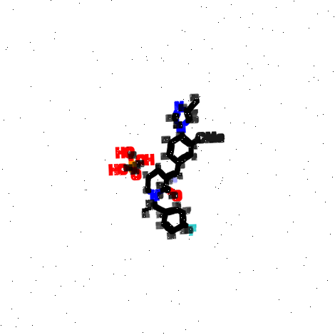 COc1cc(/C=C2\CCCN([C@@H](C)c3ccc(F)cc3)C2=O)ccc1-n1cnc(C)c1.O=P(O)(O)O